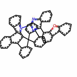 c1ccc2c(c1)-c1ccccc1C21c2ccccc2-c2c1c1c(c3ccccc23)c2ccccc2n1-c1nc(-c2cccc3c2oc2ccccc23)c2ccccc2n1